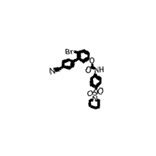 N#Cc1ccc(-c2cc(OC(=O)Nc3ccc(S(=O)(=O)N4CCCCC4)cc3)ccc2Br)cc1